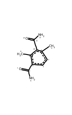 Cc1ccc(C(N)=O)c(C)c1C(N)=O